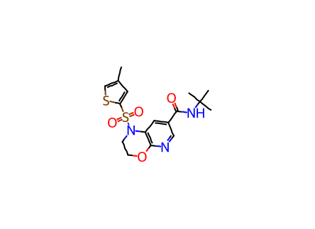 Cc1csc(S(=O)(=O)N2CCOc3ncc(C(=O)NC(C)(C)C)cc32)c1